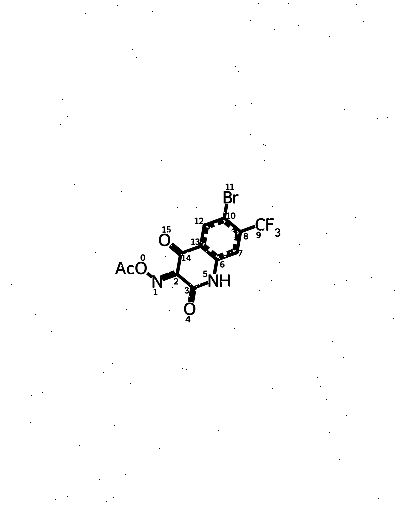 CC(=O)ON=C1C(=O)Nc2cc(C(F)(F)F)c(Br)cc2C1=O